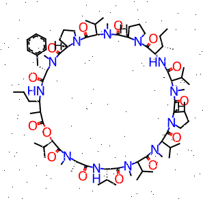 CCCC1NC(=O)[C@H](Cc2ccccc2)N(C)C(=O)[C@@H]2CCCN2C(=O)C(C(C)C)N(C)C(=O)[C@@H]2CCCN2C(=O)[C@H]([C@@H](C)CC)NC(=O)C(C(C)C)N(C)C(=O)[C@@H]2CCCN2C(=O)C(C(C)C)N(C)C(=O)C(C(C)C)N(C)C(=O)[C@H](C(C)C)NC(=O)[C@H](C)N(C)C(=O)[C@@H](C(C)C)OC(=O)C1C